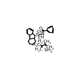 C=C(C)C(=C)C.[CH3][Ti]([CH3])([NH]C(=O)c1ccccc1)[CH]1C2C=CC=CC2C2CCCCC21.[SiH4]